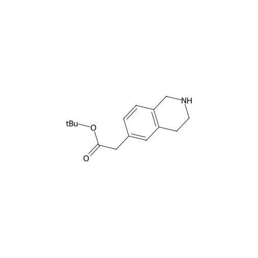 CC(C)(C)OC(=O)Cc1ccc2c(c1)CCNC2